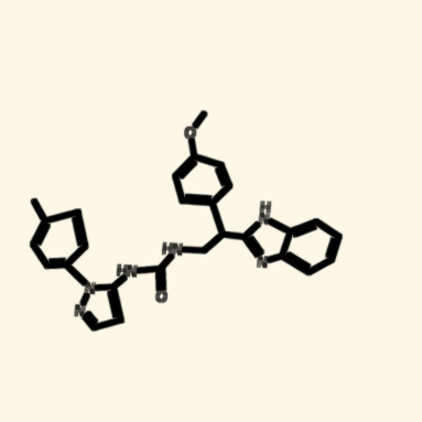 COc1ccc(C(CNC(=O)Nc2ccnn2-c2ccc(C)cc2)c2nc3ccccc3[nH]2)cc1